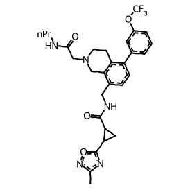 CCCNC(=O)CN1CCc2c(-c3cccc(OC(F)(F)F)c3)ccc(CNC(=O)C3CC3c3nc(C)no3)c2C1